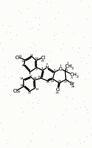 CC1(C)Oc2nc(-c3ccc(Cl)cc3Cl)c(-c3ccc(Cl)cc3)cc2C(=O)C1Br